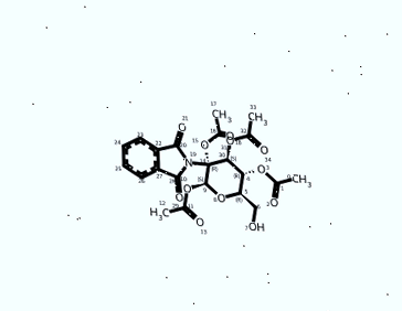 CC(=O)O[C@@H]1[C@@H](CO)O[C@@H](OC(C)=O)[C@@](OC(C)=O)(N2C(=O)c3ccccc3C2=O)[C@H]1OC(C)=O